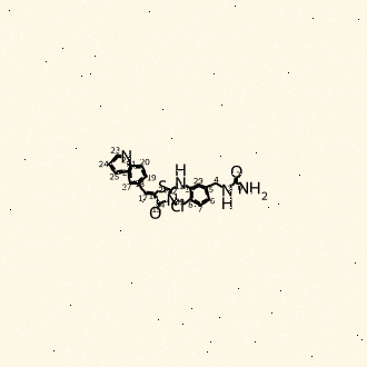 NC(=O)NCc1ccc(Cl)c(NC2=NC(=O)/C(=C/c3ccc4ncccc4c3)S2)c1